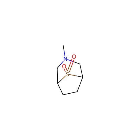 CN1CC2CCC(C1)S2(=O)=O